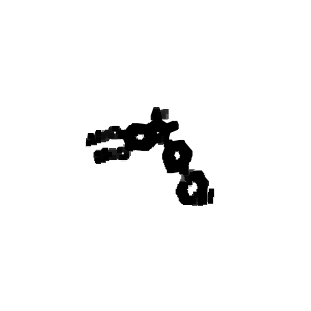 COc1cc2c(C(C)=O)c(C)n(-c3ccc(N4CCNCC4)cc3)c2cc1OC